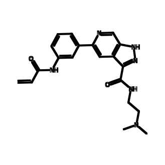 C=CC(=O)Nc1cccc(-c2cc3c(C(=O)NCCN(C)C)n[nH]c3cn2)c1